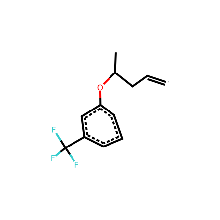 [CH]=CCC(C)Oc1cccc(C(F)(F)F)c1